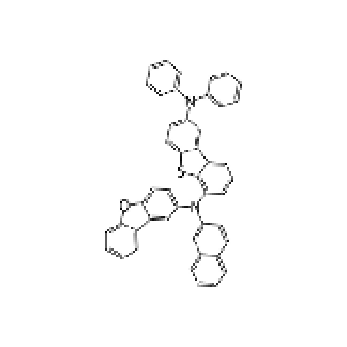 c1ccc(N(c2ccccc2)c2ccc3sc4c(N(c5ccc6ccccc6c5)c5ccc6oc7ccccc7c6c5)cccc4c3c2)cc1